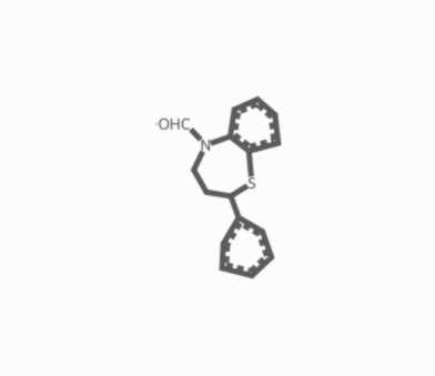 O=[C]N1CCC(c2ccccc2)Sc2ccccc21